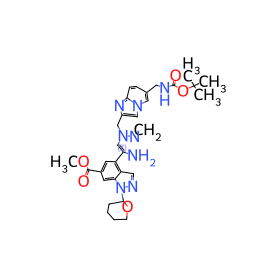 C=NN(/C=C(\N)c1cc(C(=O)OC)cc2c1cnn2C1CCCCO1)Cc1cn2cc(CNC(=O)OC(C)(C)C)ccc2n1